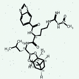 CC(C)C[C@H](NC(=O)[C@H](CCCNC(=N)N[N+](C)=O)NC(=O)c1ccc2ncsc2c1)B1O[C@@H]2C[C@@H]3C[C@@H](C3(C)C)[C@]2(C)O1